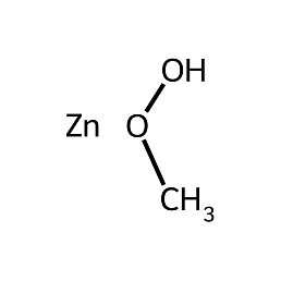 COO.[Zn]